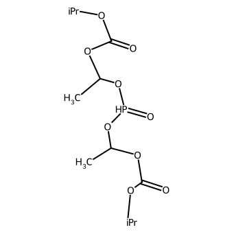 CC(C)OC(=O)OC(C)O[PH](=O)OC(C)OC(=O)OC(C)C